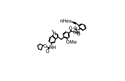 CCCCCCC#Cc1ccccc1S(=O)(=O)NC(=O)c1ccc(Cc2cn(C)c3ccc(NC(=O)OC4CCCC4)cc23)c(OC)c1